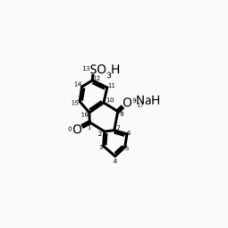 O=C1c2ccccc2C(=O)c2cc(S(=O)(=O)O)ccc21.[NaH]